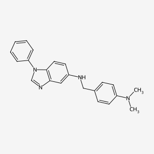 CN(C)c1ccc(CNc2ccc3c(c2)ncn3-c2ccccc2)cc1